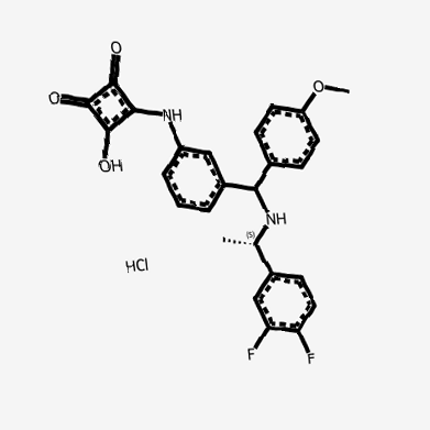 COc1ccc(C(N[C@@H](C)c2ccc(F)c(F)c2)c2cccc(Nc3c(O)c(=O)c3=O)c2)cc1.Cl